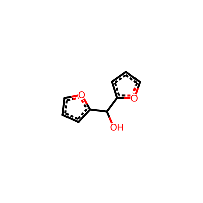 OC(c1ccco1)c1ccco1